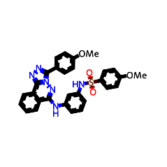 COc1ccc(-c2nnc3c4ccccc4c(Nc4cccc(NS(=O)(=O)c5ccc(OC)cc5)c4)nn23)cc1